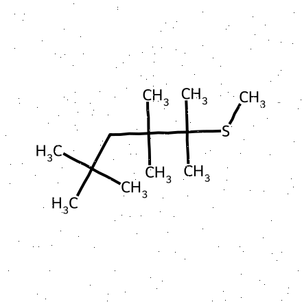 CSC(C)(C)C(C)(C)CC(C)(C)C